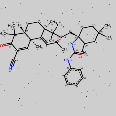 CC(=O)/C=C1/[C@@]2(C)C=C(C#N)C(=O)C(C)(C)[C@@H]2CC[C@@]1(C)C(C)(C)CC[C@@]1(NC(=O)Nc2ccccc2)CCC(C)(C)CC1C